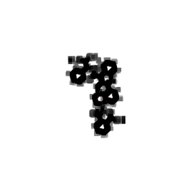 CC(C)[C@H](NC(=O)c1c(CN2CCN(NC(=O)c3ccccc3C(=O)O)CC2)c(-c2ccccc2)nc2ccccc12)c1ccccc1